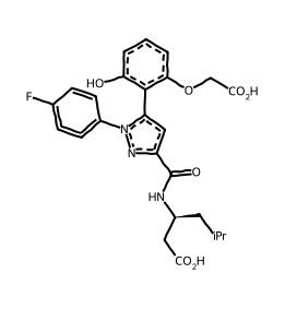 CC(C)C[C@@H](CC(=O)O)NC(=O)c1cc(-c2c(O)cccc2OCC(=O)O)n(C2=C=C=C(F)C=C2)n1